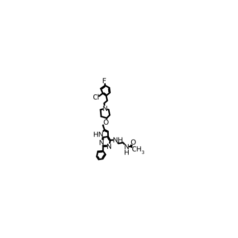 CC(=O)NCCNc1nc(-c2ccccc2)nc2[nH]c(COC3CCN(CCc4ccc(F)cc4Cl)CC3)cc12